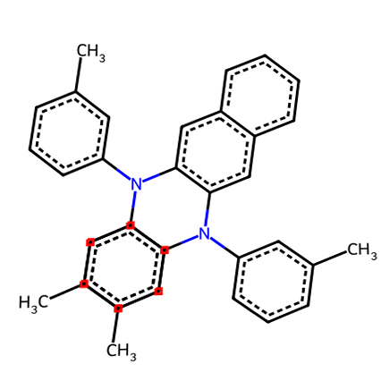 Cc1cccc(N(c2cccc(C)c2)c2cc3ccccc3cc2N(c2cccc(C)c2)c2cccc(C)c2)c1